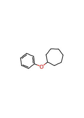 c1ccc(OC2CCCCCC2)cc1